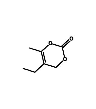 CCC1=C(C)OC(=O)OC1